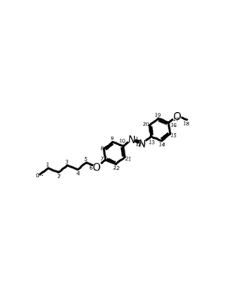 [CH2]CCCCCOc1ccc(/N=N/c2ccc(OC)cc2)cc1